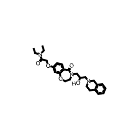 CCN(CC)C(=O)COc1ccc2c(c1)OCCN(CC(O)CN1CCc3ccccc3C1)C2=O